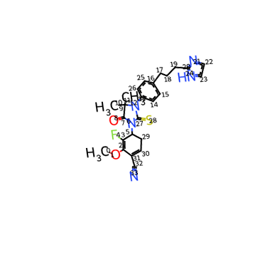 COC1=C(F)C(N2C(=O)C(C)(C)N(c3ccc(CCCc4ncc[nH]4)cc3)C2=S)CC=C1C#N